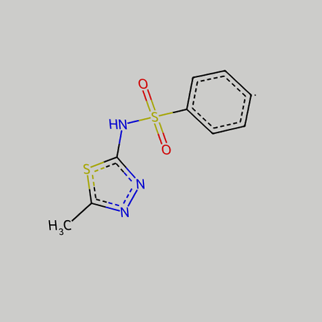 Cc1nnc(NS(=O)(=O)c2cc[c]cc2)s1